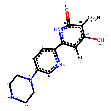 CCc1c(-c2ccc(N3CCNCC3)cn2)[nH]c(=O)c(C(=O)O)c1O